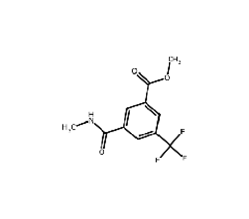 CNC(=O)c1cc(C(=O)OC)cc(C(F)(F)F)c1